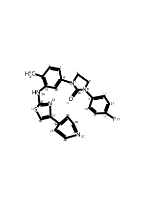 Cc1ccc(N2CCN(c3ccc(F)cc3)C2=O)cc1Nc1nc(-c2ccncc2)cs1